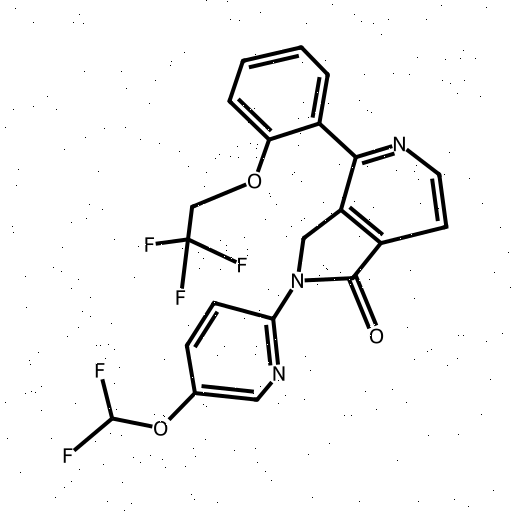 O=C1c2ccnc(-c3ccccc3OCC(F)(F)F)c2CN1c1ccc(OC(F)F)cn1